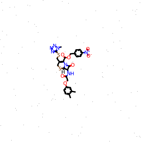 Cc1ccc(OCC(=O)NC2C(=O)N3C(C(=O)OCc4ccc([N+](=O)[O-])cc4)=C(CSc4nnnn4C)CS[C@@H]23)cc1C